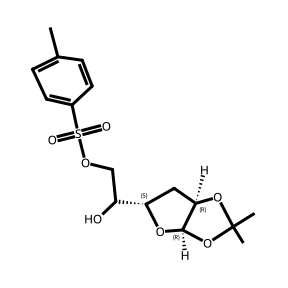 Cc1ccc(S(=O)(=O)OCC(O)[C@@H]2C[C@H]3OC(C)(C)O[C@H]3O2)cc1